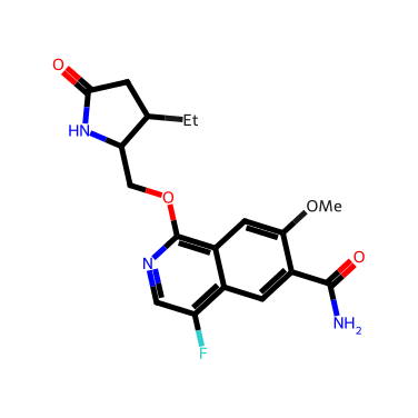 CCC1CC(=O)NC1COc1ncc(F)c2cc(C(N)=O)c(OC)cc12